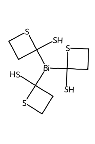 S[C]1([Bi]([C]2(S)CCS2)[C]2(S)CCS2)CCS1